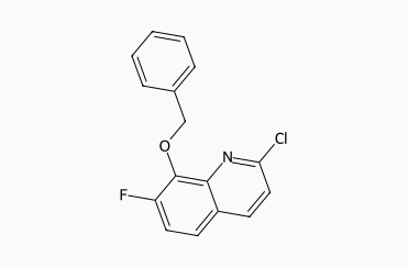 Fc1ccc2ccc(Cl)nc2c1OCc1ccccc1